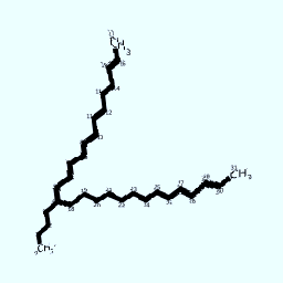 [CH2]CCCC(CCCCCCCCCCCCC)CCCCCCCCCCCCCC